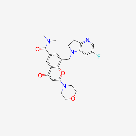 CN(C)C(=O)c1cc(CN2CCc3ncc(F)cc32)c2oc(N3CCOCC3)cc(=O)c2c1